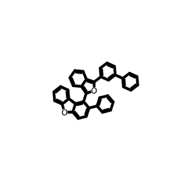 c1ccc(-c2cccc(-c3oc(-c4c(-c5ccccc5)ccc5oc6ccccc6c45)c4ccccc34)c2)cc1